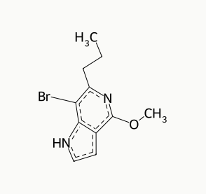 CCCc1nc(OC)c2cc[nH]c2c1Br